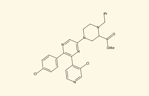 COC(=O)C1CN(c2cnc(-c3ccc(Cl)cc3)c(-c3ccncc3Cl)n2)CCN1CC(C)C